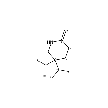 C=C1CCC(C(C)C)(C(C)C)CN1